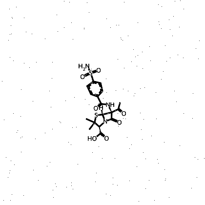 CC(=O)[C@]1(NC(=O)c2ccc(S(N)(=O)=O)cc2)C(=O)N2[C@@H](C(=O)O)C(C)(C)S[C@@H]21